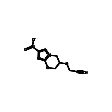 C#CCOC1COc2nc([N+](=O)[O-])cn2C1